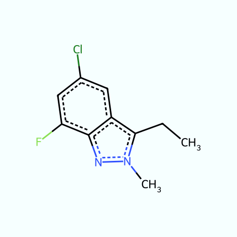 CCc1c2cc(Cl)cc(F)c2nn1C